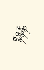 CCCCCC1CCC(c2ccc(C#N)cc2)C(OC)C1.CCCCCC1CCC(c2ccc(OCC)cc2)C(OC)C1.CCCCCC1CCC(c2ccc(OCCC)cc2)C(OC)C1